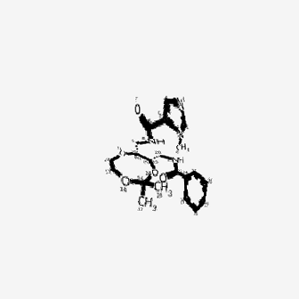 Cn1cncc1C(=O)NC[C@H]1OCCOC(C)(C)O[C@H]1CNC(=O)c1ccccc1